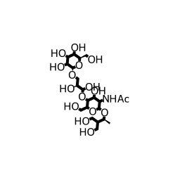 CC(=O)NC1C(O[C@@H](C)C(CO)CO)OC(CO)C(OC(O)[C@H](O)CO[C@H]2O[C@H](CO)C(O)C(O)C2O)C1O